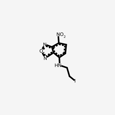 O=[N+]([O-])c1ccc(NCCI)c2nonc12